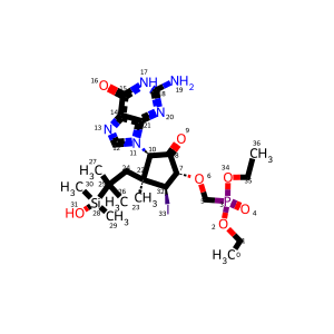 CCOP(=O)(CO[C@H]1C(=O)[C@@H](n2cnc3c(=O)[nH]c(N)nc32)[C@](C)(CC(C)(C)[Si](C)(C)O)[C@@H]1I)OCC